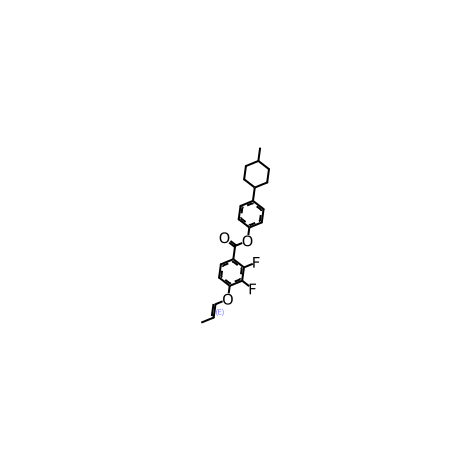 C/C=C/Oc1ccc(C(=O)Oc2ccc(C3CCC(C)CC3)cc2)c(F)c1F